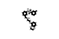 Cc1cccc(S(=O)(=O)Nc2cccc(CNCCOc3cccc4c3OCCO4)c2)c1